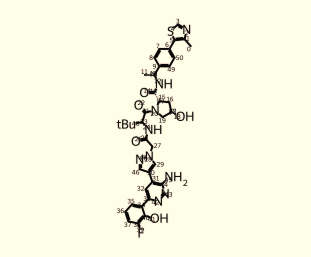 Cc1ncsc1-c1ccc([C@H](C)NC(=O)[C@@H]2C[C@@H](O)CN2C(=O)C(NC(=O)Cn2cc(-c3cc(-c4cccc(F)c4O)nnc3N)cn2)C(C)(C)C)cc1